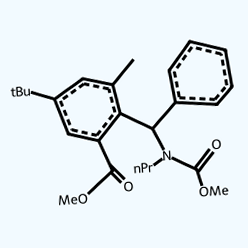 CCCN(C(=O)OC)C(c1ccccc1)c1c(C)cc(C(C)(C)C)cc1C(=O)OC